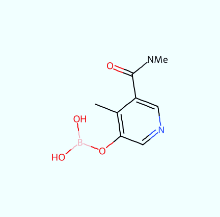 CNC(=O)c1cncc(OB(O)O)c1C